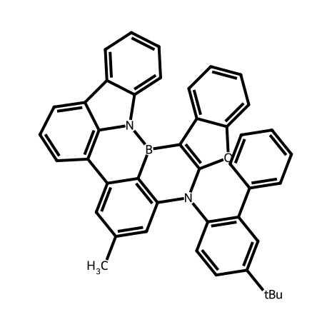 Cc1cc2c3c(c1)N(c1ccc(C(C)(C)C)cc1-c1ccccc1)c1oc4ccccc4c1B3n1c3ccccc3c3cccc-2c31